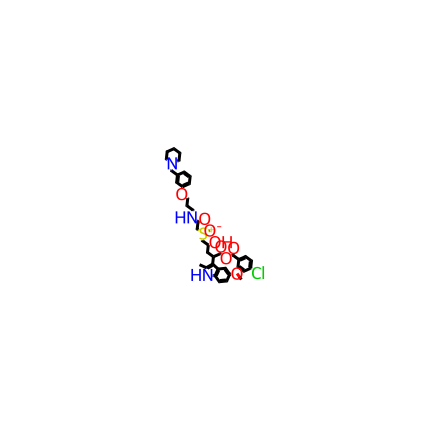 COc1ccc2[nH]c(C)c(C(CC(O)C[S+]([O-])CC(=O)NCCCOc3cccc(CN4CCCCC4)c3)C(=O)OC(=O)c3ccc(Cl)cc3)c2c1